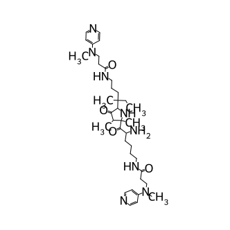 CCC(C)(CCCNC(=O)CCN(C)c1ccncc1)C1NC(C)(C(=O)C(N)CCCCNC(=O)CCN(C)c2ccncc2)C(C)C1=O